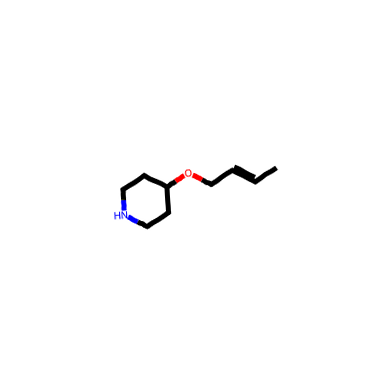 C/C=C/COC1CCNCC1